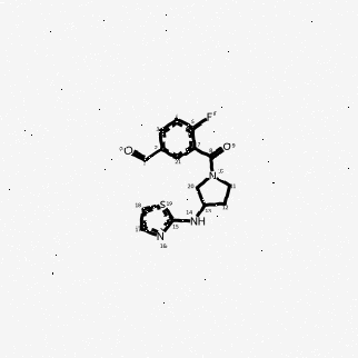 O=Cc1ccc(F)c(C(=O)N2CCC(Nc3nccs3)C2)c1